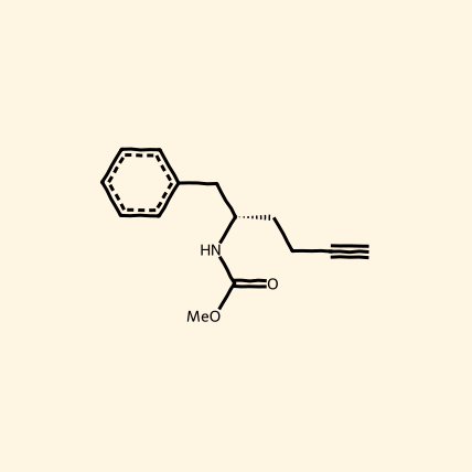 C#CCC[C@@H](Cc1ccccc1)NC(=O)OC